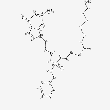 CCCCCCCCCCCCCCCCC(C)OCCO[P@](=O)(COCCN1C=NC2C(=O)N=C(N)N=C21)OCc1ccccc1